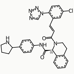 O=C(Nc1ccc(C2CCCN2)cc1)[C@@H]1c2ccccc2CCN1C(=O)C=Cc1cc(Cl)ccc1-n1cnnn1